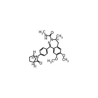 CNC(=O)N1N=C(c2ccc(N3C(=O)[C@@H]4CC[C@H]3C4)cc2)c2cc(OC)c(OC)cc2C[C@@H]1C